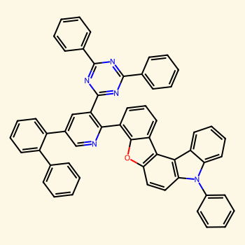 c1ccc(-c2nc(-c3ccccc3)nc(-c3cc(-c4ccccc4-c4ccccc4)cnc3-c3cccc4c3oc3ccc5c(c6ccccc6n5-c5ccccc5)c34)n2)cc1